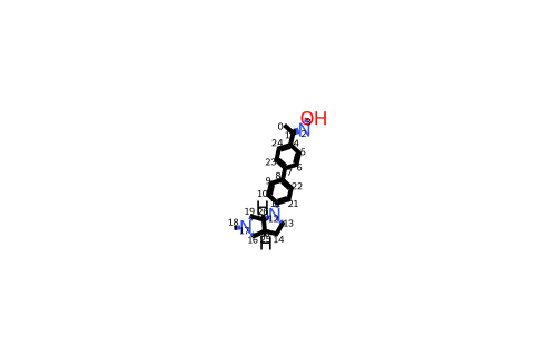 C/C(=N\O)c1ccc(-c2ccc(N3CC[C@@H]4CN(C)C[C@@H]43)cc2)cc1